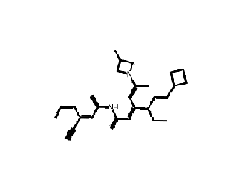 C#CC(/C=C\C)=C/C(=C)NC(=C)/C=C(\C=C(/C)N1CC(C)C1)C(CC)CCC1CCC1